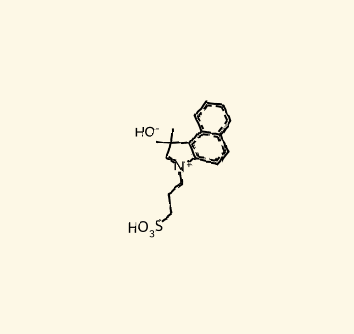 CC1(C)C=[N+](CCCS(=O)(=O)O)c2ccc3ccccc3c21.[OH-]